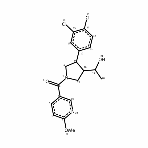 COc1ccc(C(=O)N2CC(c3ccc(Cl)c(Cl)c3)C(C(C)O)C2)cn1